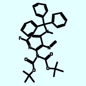 C=Nc1c(N(C(=O)OC(C)(C)C)C(=O)OC(C)(C)C)nc(F)nc1N(C)C(c1ccccc1)(c1ccccc1)c1ccccc1